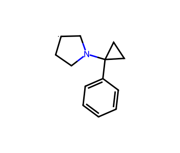 [CH]1CCN(C2(c3ccccc3)CC2)C1